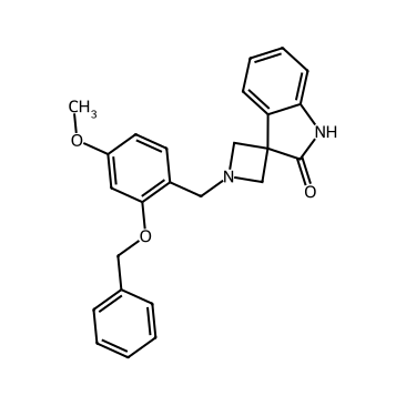 COc1ccc(CN2CC3(C2)C(=O)Nc2ccccc23)c(OCc2ccccc2)c1